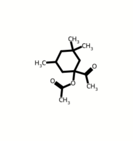 CC(=O)OC1(C(C)=O)CC(C)CC(C)(C)C1